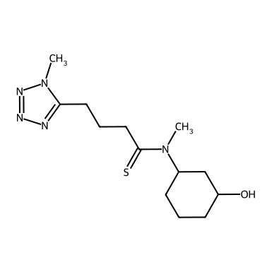 CN(C(=S)CCCc1nnnn1C)C1CCCC(O)C1